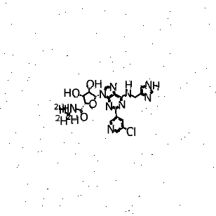 [2H]C([2H])([2H])NC(=O)[C@H]1O[C@@H](n2cnc3c(NCc4c[nH]cn4)nc(-c4cncc(Cl)c4)nc32)[C@H](O)[C@@H]1O